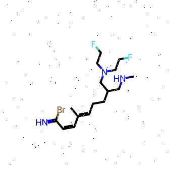 CNCC(CC/C=C(C)/C=C\C(=N)Br)CN(CCF)CCF